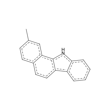 Cc1ccc2ccc3c4ccccc4[nH]c3c2c1